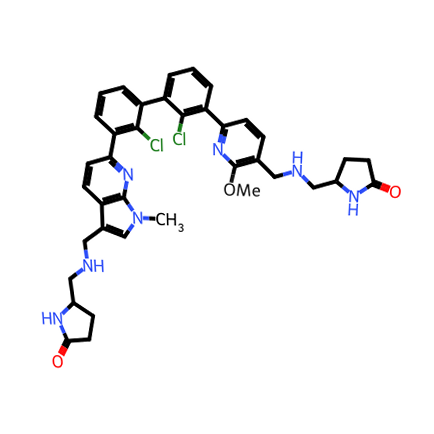 COc1nc(-c2cccc(-c3cccc(-c4ccc5c(CNCC6CCC(=O)N6)cn(C)c5n4)c3Cl)c2Cl)ccc1CNCC1CCC(=O)N1